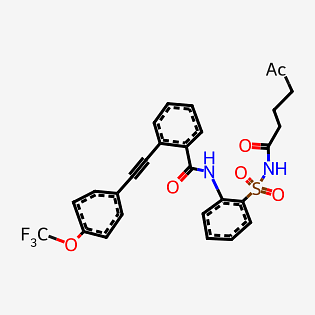 CC(=O)CCCC(=O)NS(=O)(=O)c1ccccc1NC(=O)c1ccccc1C#Cc1ccc(OC(F)(F)F)cc1